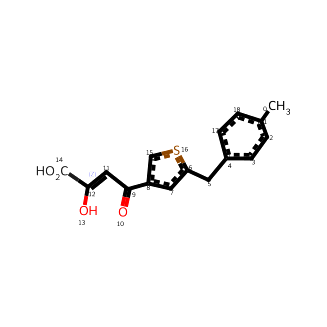 Cc1ccc(Cc2cc(C(=O)/C=C(\O)C(=O)O)cs2)cc1